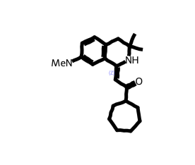 CNc1ccc2c(c1)/C(=C/C(=O)C1CCCCCC1)NC(C)(C)C2